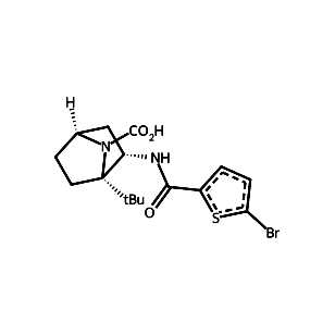 CC(C)(C)[C@@]12CC[C@@H](C[C@@H]1NC(=O)c1ccc(Br)s1)N2C(=O)O